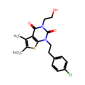 CCOC(=O)c1sc2c(c1C)c(=O)n(CCO)c(=O)n2CCc1ccc(Cl)cc1